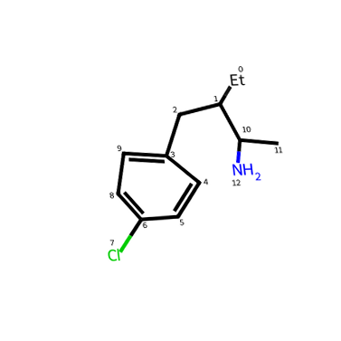 CCC(Cc1ccc(Cl)cc1)C(C)N